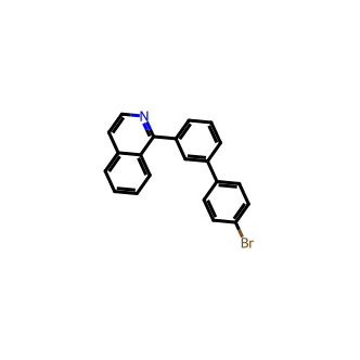 Brc1ccc(-c2cccc(-c3nccc4ccccc34)c2)cc1